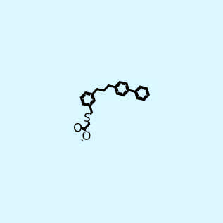 COC(=O)CSCc1cccc(CCCc2ccc(-c3ccccc3)cc2)c1